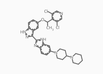 CC(Oc1ccc2[nH]nc(-c3nc4ccc(N5CCC(N6CCCCC6)CC5)cc4[nH]3)c2c1)c1c(Cl)cncc1Cl